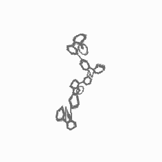 c1cc(-c2cccc3c2oc2ccc(-n4c5ccccc5c5ccccc54)cc23)cc(-n2c3ccccc3c3cc(-c4cccc5c4oc4ccccc45)ccc32)c1